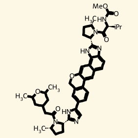 COC(=O)N[C@H](C(=O)N1[C@@H](C)CC[C@H]1c1nc2ccc3cc4c(cc3c2[nH]1)OCc1cc(-c2cnc([C@@H]3CC[C@H](C)N3C(=O)CC3CC(C)OC(C)C3)[nH]2)ccc1-4)C(C)C